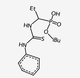 CCC(C)OP(=O)(O)C(CC)NC(=S)Nc1ccccc1